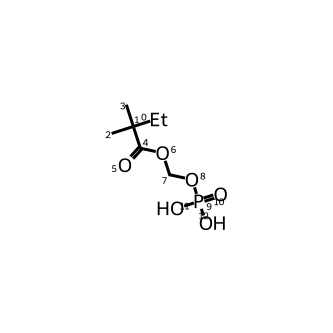 CCC(C)(C)C(=O)OCOP(=O)(O)O